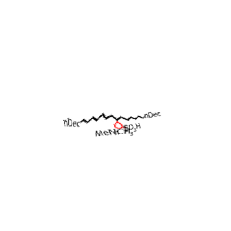 CCCCCCCCCCCCCCCCCC(CCCCCCCCCCCCCCCC)OS(=O)(=O)O.CNC